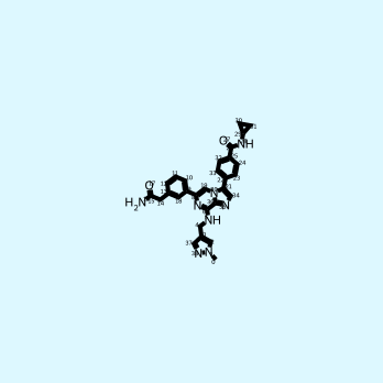 Cn1cc(CNc2nc(-c3cccc(CC(N)=O)c3)cn3c(-c4ccc(C(=O)NC5CC5)cc4)cnc23)cn1